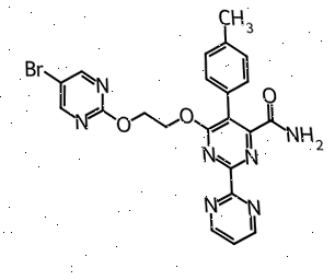 Cc1ccc(-c2c(OCCOc3ncc(Br)cn3)nc(-c3ncccn3)nc2C(N)=O)cc1